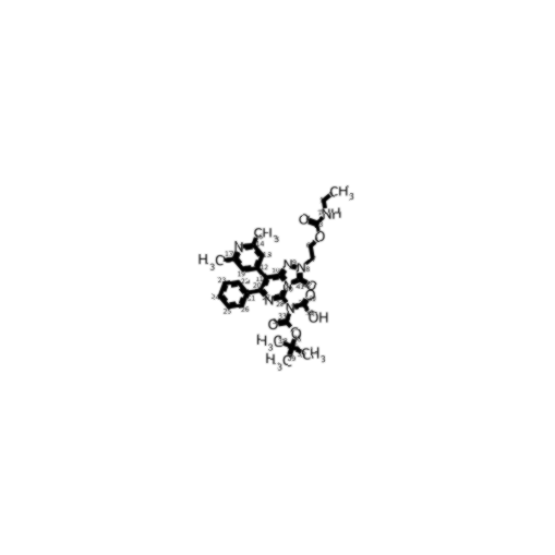 CCNC(=O)OCCn1nc2c(-c3cc(C)nc(C)c3)c(-c3ccccc3)nc(N(C(=O)O)C(=O)OC(C)(C)C)n2c1=O